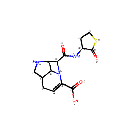 O=C(O)C1=CCC2CNC3C(C(=O)N[C@H]4CCSC4=O)N1C23